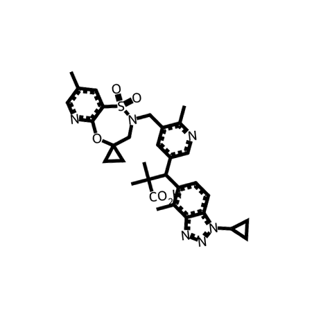 Cc1cnc2c(c1)S(=O)(=O)N(Cc1cc(C(c3ccc4c(nnn4C4CC4)c3C)C(C)(C)C(=O)O)cnc1C)CC1(CC1)O2